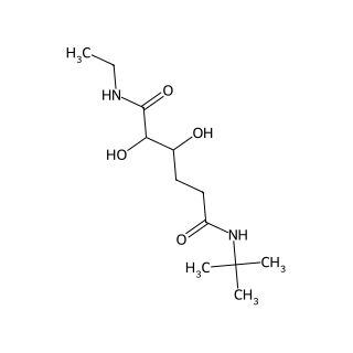 CCNC(=O)C(O)C(O)CCC(=O)NC(C)(C)C